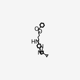 O=C(OCCCCNc1ccc(-n2cc(C3CC3)cn2)nc1)c1ccccc1